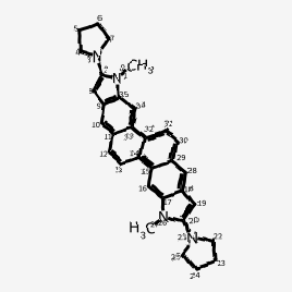 Cn1c(N2CCCC2)cc2cc3ccc4c5cc6c(cc(N7CCCC7)n6C)cc5ccc4c3cc21